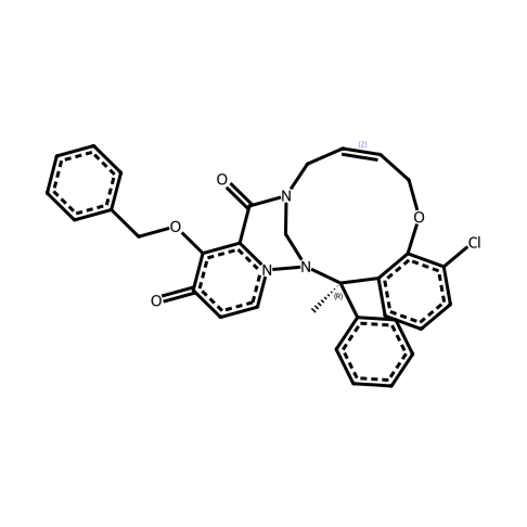 C[C@@]1(c2ccccc2)c2cccc(Cl)c2OC/C=C\CN2CN1n1ccc(=O)c(OCc3ccccc3)c1C2=O